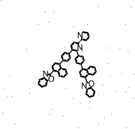 c1ccc(-c2ccc(-c3ccc(-c4ccc(-c5nc6ccccc6o5)c5ccccc45)cc3)c(-c3ccc(-c4ccc(-c5nc6ccccc6o5)c5ccccc45)cc3)n2)nc1